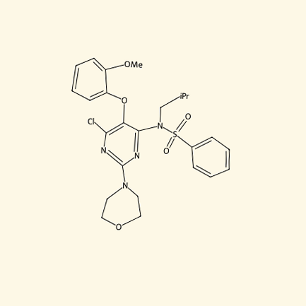 COc1ccccc1Oc1c(Cl)nc(N2CCOCC2)nc1N(CC(C)C)S(=O)(=O)c1ccccc1